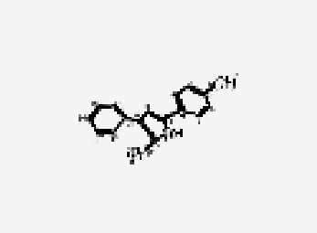 CC(C)c1[nH]c(-c2ccc(O)cc2)cc1-c1ccccc1